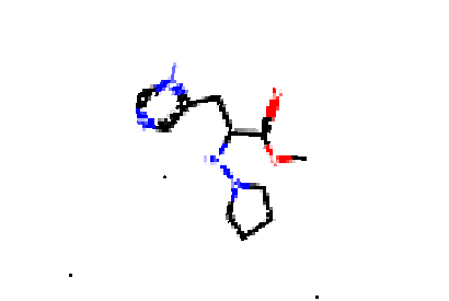 COC(=O)C(Cc1cnc[nH]1)NN1CCCC1